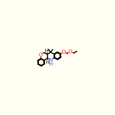 CCOCOc1ccc2c(c1)C(C)(C)[C@H]1COc3ccccc3[C@H]1N2